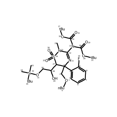 CCCCOCC1(c2ccccc2F)N=C(N(C(=O)OC(C)(C)C)C(=O)OC(C)(C)C)N(C)S(=O)(=O)C1C(O)CO[Si](C)(C)C(C)(C)C